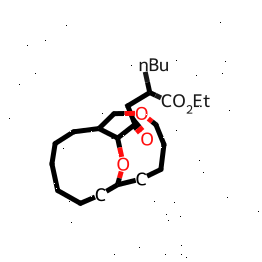 [CH2]CCCC(CC(=O)[C]1OC2CCCCCCC1COCCCC2)C(=O)OCC